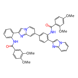 COc1ccc(C(=O)Nc2cc(-c3ccn4cc(-c5ccccc5NC(=O)c5ccc(OC)c(OC)c5)nc4c3)ccc2-c2cn3ccccc3n2)c(OC)c1